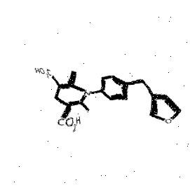 CC1=C(C(=O)O)CC(C(=O)O)=C(C)N1c1ccc(Cc2ccoc2)cc1